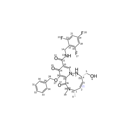 C[C@H]1/C=C\[C@@H](CO)Nn2cc(C(=O)NCc3c(F)cc(F)cc3F)c(=O)c(OCc3ccccc3)c2C(=O)N1C